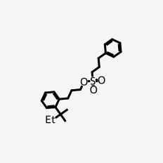 CCC(C)(C)c1ccccc1CCCOS(=O)(=O)CCCc1ccccc1